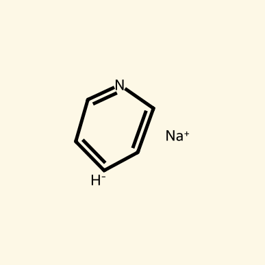 [H-].[Na+].c1ccncc1